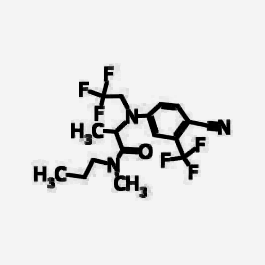 CCCN(C)C(=O)C(C)N(CC(F)(F)F)c1ccc(C#N)c(C(F)(F)F)c1